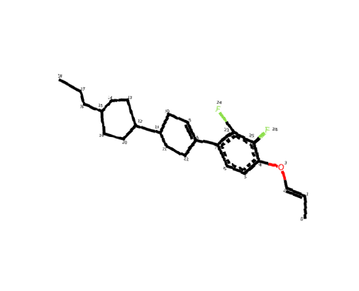 C/C=C/Oc1ccc(C2=CCC(C3CCC(CCC)CC3)CC2)c(F)c1F